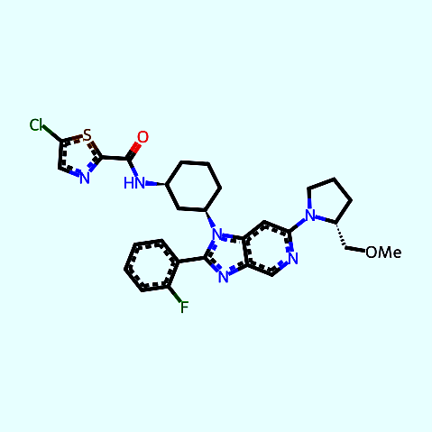 COC[C@H]1CCCN1c1cc2c(cn1)nc(-c1ccccc1F)n2[C@@H]1CCC[C@H](NC(=O)c2ncc(Cl)s2)C1